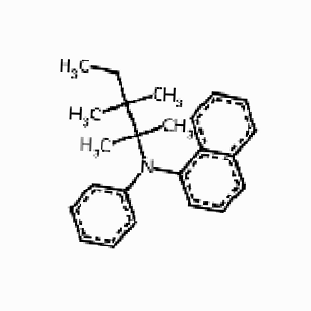 CCC(C)(C)C(C)(C)N(c1ccccc1)c1cccc2ccccc12